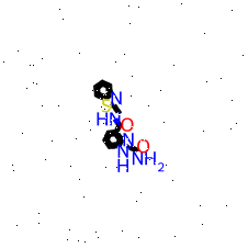 NC(=O)c1nc2c(C(=O)NCc3nc4ccccc4s3)cccc2[nH]1